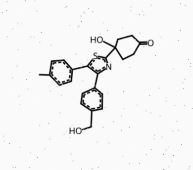 Cc1ccc(-c2sc(C3(O)CCC(=O)CC3)nc2-c2ccc(CO)cc2)cc1